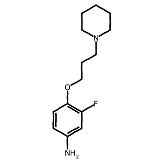 Nc1ccc(OCCCN2CCCCC2)c(F)c1